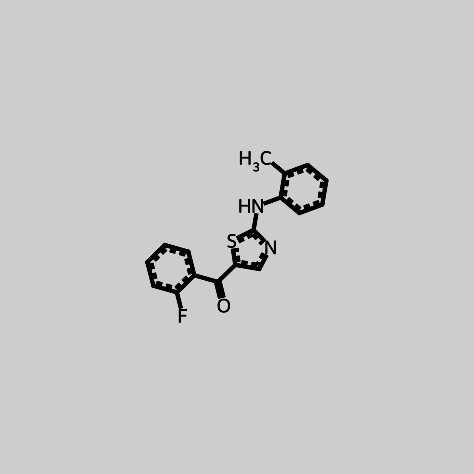 Cc1ccccc1Nc1ncc(C(=O)c2ccccc2F)s1